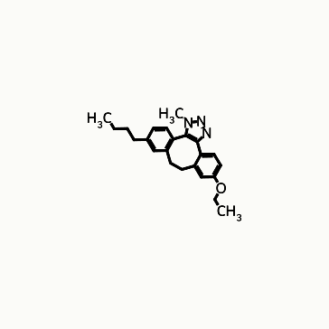 CCCCc1ccc2c(c1)CCc1cc(OCC)ccc1-c1nnn(C)c1-2